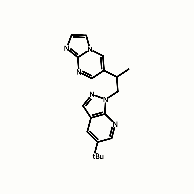 CC(Cn1ncc2cc(C(C)(C)C)cnc21)c1cnc2nccn2c1